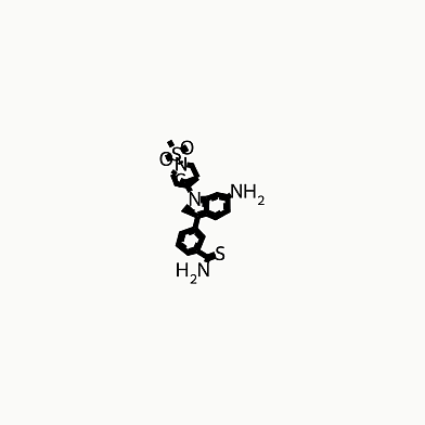 CS(=O)(=O)N1CC2CCC1CC2n1cc(-c2cccc(C(N)=S)c2)c2ccc(N)cc21